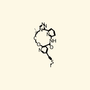 C[C@H]1CCCOc2ncc(C#CSI)cc2C(=O)Nc2cccc(n2)-c2nncn21